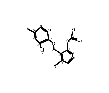 CCC(=O)Oc1cccc(C)c1COc1ccc(C)cc1Cl